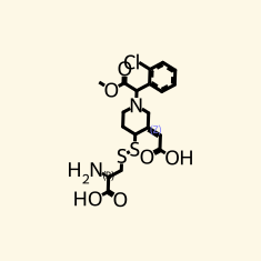 COC(=O)C(c1ccccc1Cl)N1CCC(SSC[C@H](N)C(=O)O)/C(=C\C(=O)O)C1